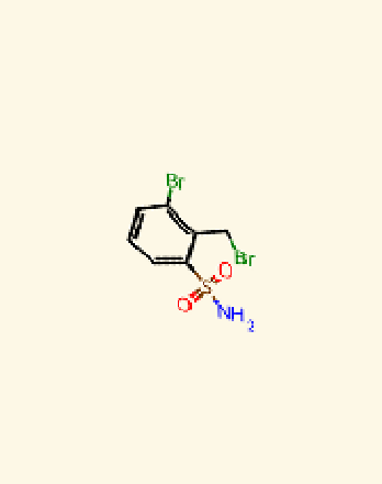 NS(=O)(=O)c1cccc(Br)c1CBr